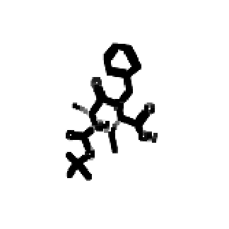 CC[C@@H](C(=O)O)N(Cc1ccccc1)C(=O)[C@@H](C)NC(=O)OC(C)(C)C